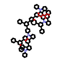 C1=CCCCC(c2cc(-c3ccccc3)cc(N(c3cc(-c4ccccc4)cc(-c4cccc(-c5ccc(-c6cc(-c7ccccc7)cc(-c7ccc(N(c8ccc(-c9cc(-c%10ccccc%10)cc(-c%10ccccc%10)c9)cc8)c8ccccc8-c8cccc(-c9cccc%10c9c9ccccc9n%10-c9ccccc9)c8)cc7)c6)cc5)c4)c3)c3ccccc3-c3cccc(-c4cccc5c4c4ccccc4n5-c4ccccc4)c3)c2)=C1